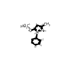 Cc1cc(OC(=O)O)n(-c2ccccc2)n1